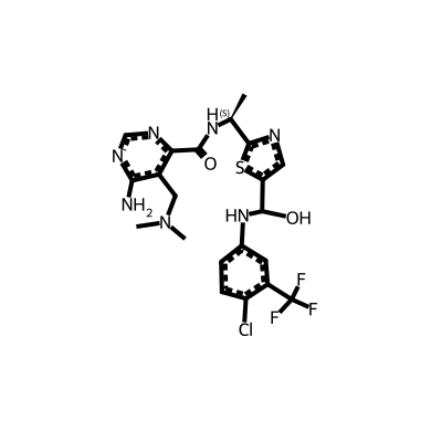 C[C@H](NC(=O)c1ncnc(N)c1CN(C)C)c1ncc(C(O)Nc2ccc(Cl)c(C(F)(F)F)c2)s1